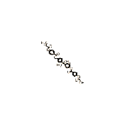 C=CC(=O)Oc1ccc(C(=O)Oc2ccc(C(C)(C)c3ccc(OC(=O)c4ccc(OC(=O)C=C)cc4)cc3)cc2)cc1